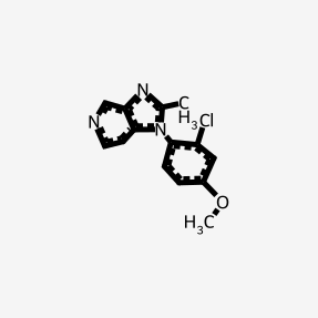 COc1ccc(-n2c(C)nc3cnccc32)c(Cl)c1